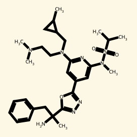 CC1CC1CN(CCN(C)C)c1cc(-c2nnc(C(C)(N)Cc3ccccc3)o2)cc(N(C)S(=O)(=O)C(C)C)n1